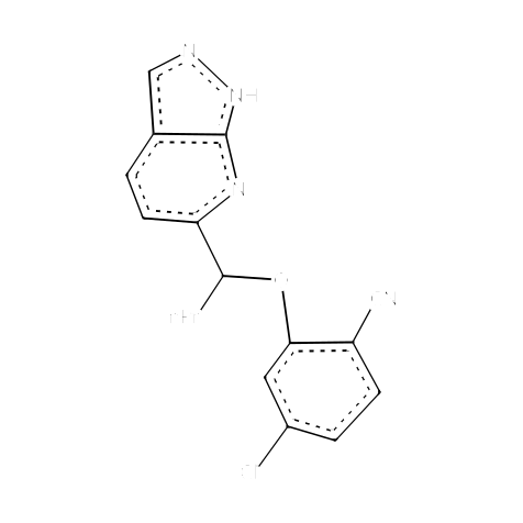 CCCC(Oc1cc(Cl)ccc1C#N)c1ccc2cn[nH]c2n1